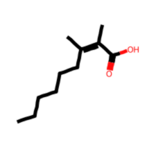 CCCCCC/C(C)=C(/C)C(=O)O